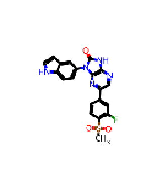 CS(=O)(=O)c1ccc(-c2cnc3[nH]c(=O)n(-c4ccc5[nH]ccc5c4)c3n2)cc1F